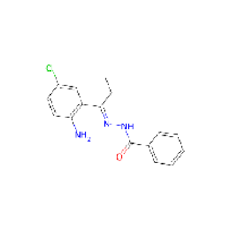 CC/C(=N\NC(=O)c1ccccc1)c1cc(Cl)ccc1N